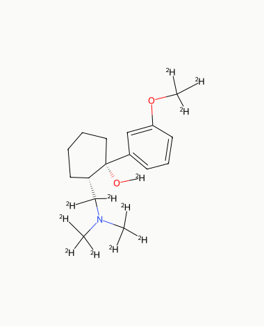 [2H]O[C@@]1(c2cccc(OC([2H])([2H])[2H])c2)CCCC[C@H]1C([2H])([2H])N(C([2H])([2H])[2H])C([2H])([2H])[2H]